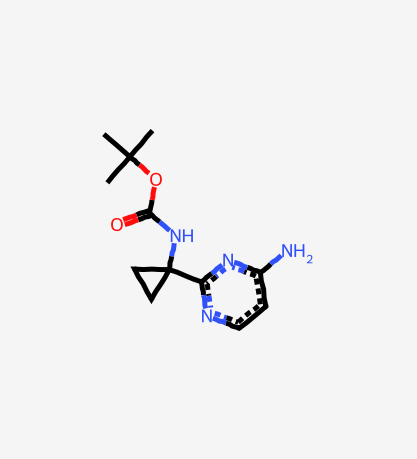 CC(C)(C)OC(=O)NC1(c2nccc(N)n2)CC1